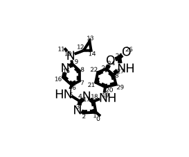 Cc1cnc(Nc2ccc(N(C)C3CC3)nc2)nc1Nc1ccc2oc(=O)[nH]c2c1